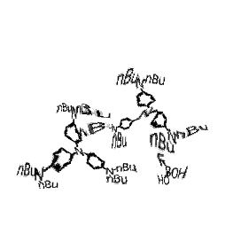 CCCCN(CCCC)c1ccc(N(c2ccc(N(CCCC)CCCC)cc2)c2ccc(N(CCCC)CCCC)cc2)cc1.CCCCN(CCCC)c1ccc(N(c2ccc(N(CCCC)CCCC)cc2)c2ccc(N(CCCC)CCCC)cc2)cc1.OB(O)F